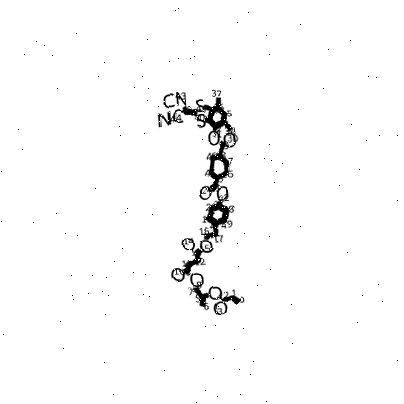 C=CC(=O)OC(C)COC(=O)CCC(=O)OCCc1ccc(OC(=O)C2CCC(C(=O)Oc3c(C)cc(C)c4c3SC(=C(C#N)C#N)S4)CC2)cc1